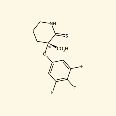 O=C(O)[C@@]1(Oc2cc(F)c(F)c(F)c2)CCCNC1=S